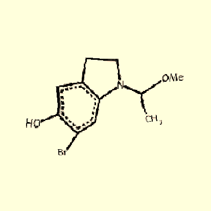 COC(C)N1CCc2cc(O)c(Br)cc21